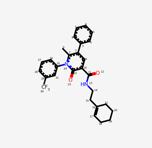 Cc1c(-c2ccccc2)cc(C(=O)NCCC2=CCCCC2)c(=O)n1-c1cccc(C(F)(F)F)c1